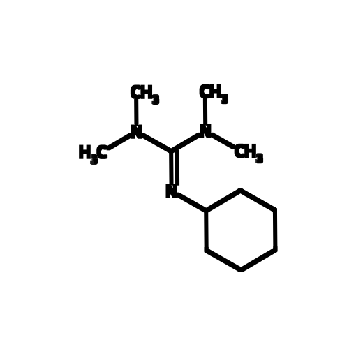 CN(C)C(=NC1CCCCC1)N(C)C